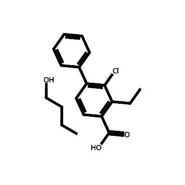 CCCCO.CCc1c(C(=O)O)ccc(-c2ccccc2)c1Cl